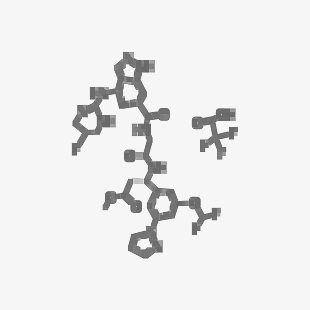 COC(=O)C[C@H](NC(=O)CNC(=O)c1cc(NC2=NCC(F)CN2)c2cn[nH]c2c1)c1cc(OC(F)F)cc(-n2cccn2)c1.O=C(O)C(F)(F)F